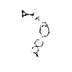 O=C1CC2(CCN(C3CCC4CC(C3)N(c3nc(C5CC5)no3)C4)CC2)CN1